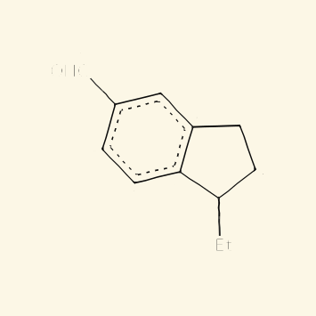 CCC1CCc2cc(C=O)ccc21